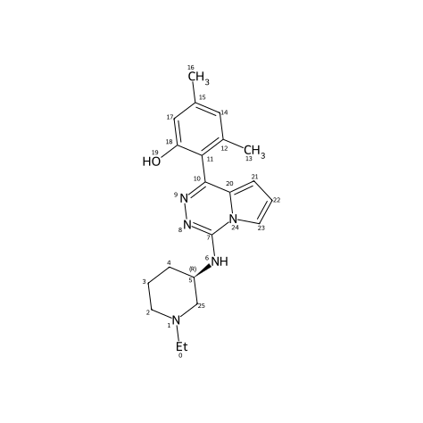 CCN1CCC[C@@H](Nc2nnc(-c3c(C)cc(C)cc3O)c3cccn23)C1